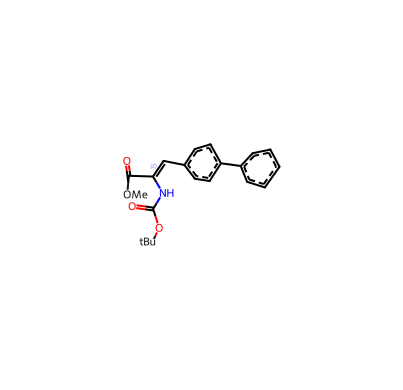 COC(=O)/C(=C/c1ccc(-c2ccccc2)cc1)NC(=O)OC(C)(C)C